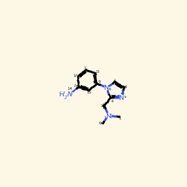 CN(C)Cc1nccn1-c1cccc(N)c1